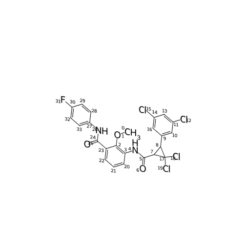 COc1c(NC(=O)C2C(c3cc(Cl)cc(Cl)c3)C2(Cl)Cl)cccc1C(=O)Nc1ccc(F)cc1